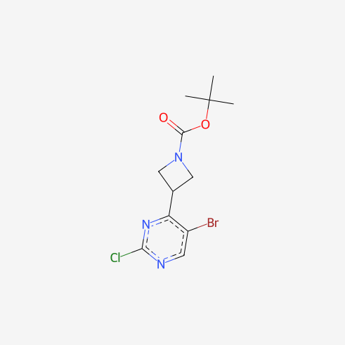 CC(C)(C)OC(=O)N1CC(c2nc(Cl)ncc2Br)C1